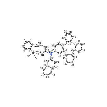 CC1(C)c2ccccc2-c2ccc(N(c3ccc4c(c3)-c3ccccc3-c3ccccc3-c3ccccc3-4)c3ccc4ccccc4c3)cc21